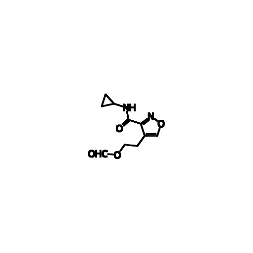 O=COCCc1conc1C(=O)NC1CC1